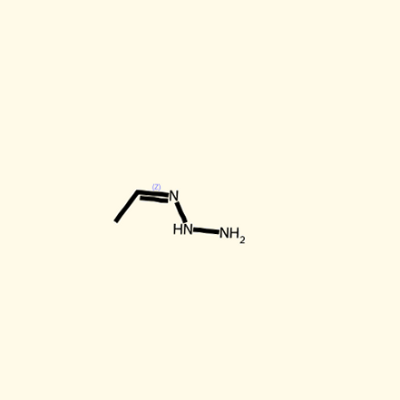 C/C=N\NN